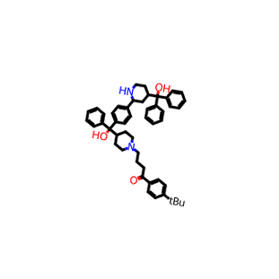 CC(C)(C)c1ccc(C(=O)CCCN2CCC(C(O)(c3ccccc3)c3ccc(C4CC(C(O)(c5ccccc5)c5ccccc5)CCN4)cc3)CC2)cc1